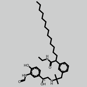 CCCCCCCCCCCCCCC(C(=O)NCC)c1cccc(CC(C)(C)NC[C@@H](O)c2ccc(O)c(NC=O)c2)c1